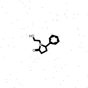 O=C1CCC(c2ccccc2)N1CCO